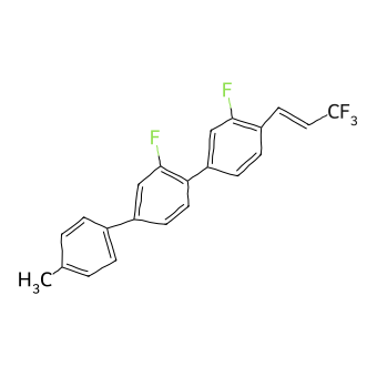 Cc1ccc(-c2ccc(-c3ccc(/C=C/C(F)(F)F)c(F)c3)c(F)c2)cc1